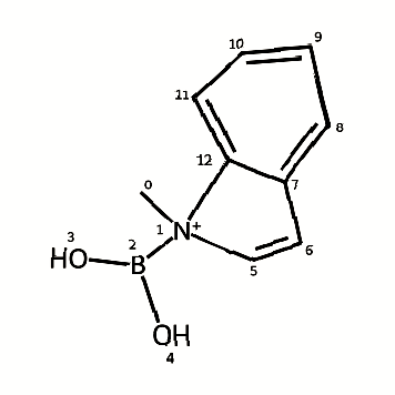 C[N+]1(B(O)O)C=Cc2ccccc21